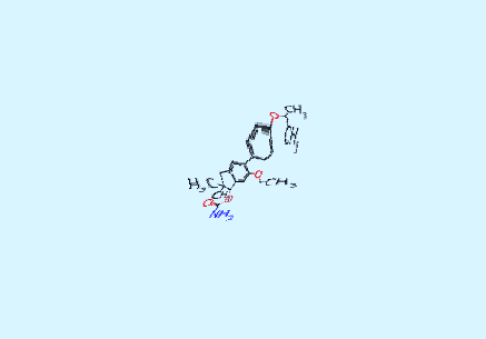 CCOc1cc2c(cc1-c1ccc(OC(C)C)cc1)CC(C)(C)[C@H]2OC(N)=O